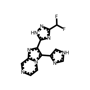 FC(F)c1n[nH]c(-c2nc3cnccn3c2-c2c[nH]cn2)n1